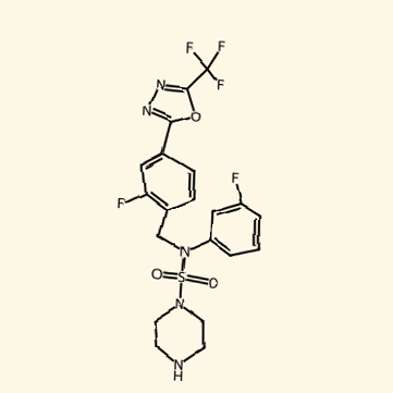 O=S(=O)(N1CCNCC1)N(Cc1ccc(-c2nnc(C(F)(F)F)o2)cc1F)c1cccc(F)c1